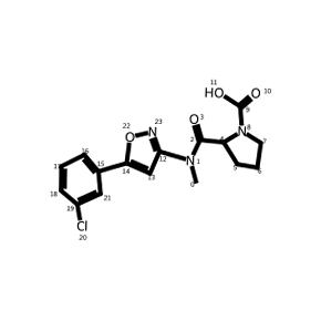 CN(C(=O)C1CCCN1C(=O)O)c1cc(-c2cccc(Cl)c2)on1